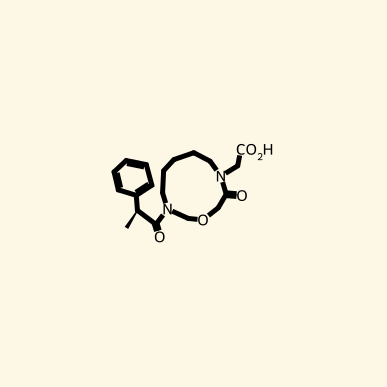 C[C@H](C(=O)N1CCCCCN(CC(=O)O)C(=O)COC1)c1ccccc1